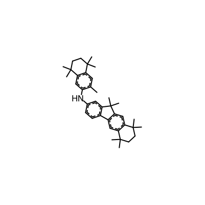 Cc1cc2c(cc1Nc1ccc3c(c1)C(C)(C)c1cc4c(cc1-3)C(C)(C)CCC4(C)C)C(C)(C)CCC2(C)C